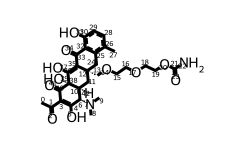 CC(=O)C1=C(O)[C@@H](N(C)C)[C@@H]2C[C@]3(COCCOCCOC(N)=O)Cc4c(C)ccc(O)c4C(=O)C3=C(O)[C@]2(O)C1=O